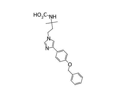 CC(C)(CCn1cnc(-c2ccc(OCc3ccccc3)cc2)c1)NC(=O)O